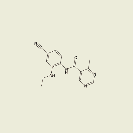 CCNc1cc(C#N)ccc1NC(=O)c1cncnc1C